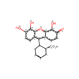 O=C(O)[C@H]1CCCCC1c1c2ccc(=O)c(O)c-2oc2c(O)c(O)ccc12